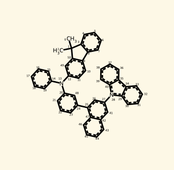 CC1(C)c2ccccc2-c2ccc(N(c3ccccc3)c3cccc(-c4cc(-n5c6ccccc6c6ccccc65)cc5ccccc45)c3)cc21